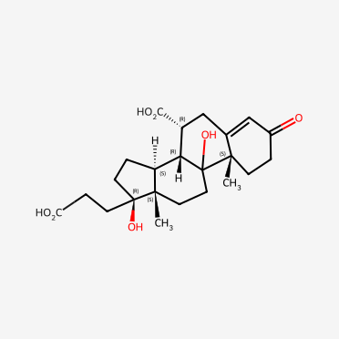 C[C@]12CCC(=O)C=C1C[C@@H](C(=O)O)[C@H]1[C@@H]3CC[C@@](O)(CCC(=O)O)[C@@]3(C)CCC12O